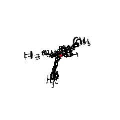 Cc1ccccc1[C@@H]1COCCCN1C1CC2(CCN(c3ccc(C(=O)NS(=O)(=O)c4ccc(NCC5CCC(C)(O)CC5)c([N+](=O)[O-])c4)c(N4c5cc6ccn(COCC[Si](C)(C)C)c6nc5O[C@H]5COCC[C@@H]54)c3)CC2)C1